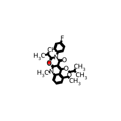 CCc1cccc2c1c(OC(=O)C(C)C)c(C(=O)N(C(=O)C(C)C)c1ccc(F)cc1)c(=O)n2C